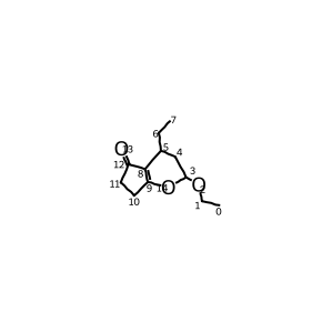 CCOC1CC(CC)C2=C(CCC2=O)O1